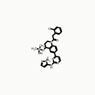 Cn1nccc1Nc1nccc(-c2ccc3c(c2)C(O[Si](C)(C)C(C)(C)C)CCN3C(=O)Cc2ccccc2Cl)n1